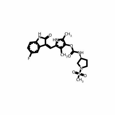 Cc1[nH]c(/C=C2\C(=O)Nc3ccc(F)cc32)c(C)c1OC(=O)N[C@H]1CCN(S(C)(=O)=O)C1